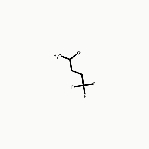 CC([O])CCC(F)(F)F